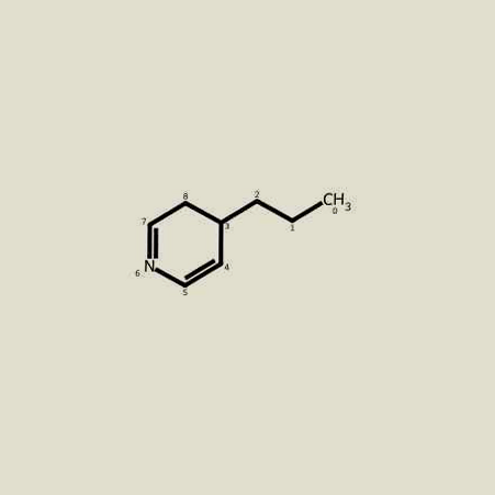 CCCC1C=CN=CC1